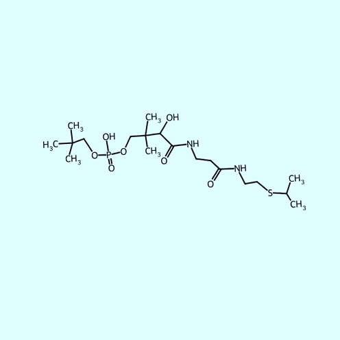 CC(C)SCCNC(=O)CCNC(=O)C(O)C(C)(C)COP(=O)(O)OCC(C)(C)C